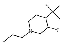 CCCN1CCC(C(C)(C)C)C(F)C1